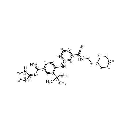 CC(C)(C)c1cc(C(=N)N=C2NCCN2)ccc1Nc1cc(C(=O)NCCC2CCOCC2)ccn1